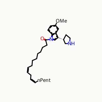 CCCCC/C=C\C/C=C\CCCCCCCC(=O)n1cc([C@@H]2CCNC2)c2cc(OC)ccc21